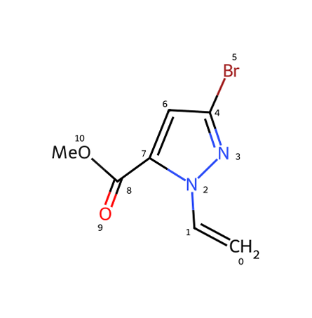 C=Cn1nc(Br)cc1C(=O)OC